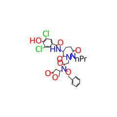 CCCN1C(=O)CCC(NC(=O)c2cc(Cl)c(O)c(Cl)c2)C(=O)N1CC(=O)N(OCc1ccccc1)C1COC(=O)C1